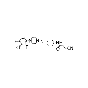 N#CCCC(=O)NC1CCC(CCN2CCN(c3ccc(F)c(Cl)c3F)CC2)CC1